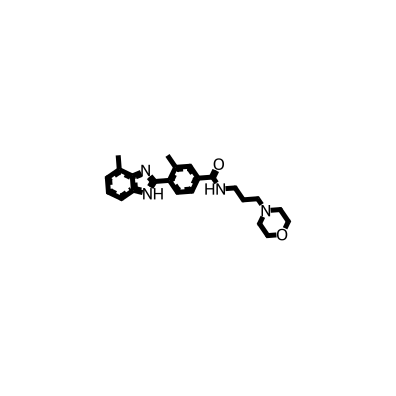 Cc1cc(C(=O)NCCCN2CCOCC2)ccc1-c1nc2c(C)cccc2[nH]1